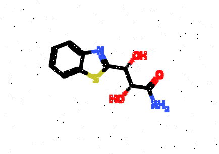 NC(=O)[C@H](O)[C@@H](O)c1nc2ccccc2s1